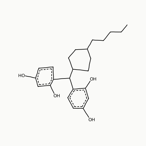 CCCCCC1CCC(C(c2ccc(O)cc2O)c2ccc(O)cc2O)CC1